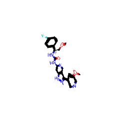 COC[C@@H](NC(=O)Nc1cc2[nH]nc(-c3cncc(OC)c3)c2cn1)c1ccc(F)cc1